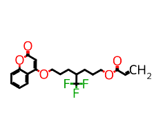 C=CC(=O)OCCCC(CCCOc1cc(=O)oc2ccccc12)C(F)(F)F